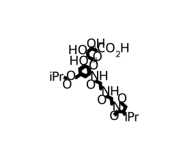 CC(C)C(=O)OCc1ccc(O[C@@H]2OC(C(=O)O)[C@@H](O)C(O)C2O)c(NC(=O)CCNC(=O)CCN2C(=O)CC(C(C)C)C2=O)c1